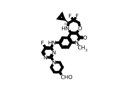 Cn1c(=O)c2c(c3cc(Nc4nc(N5CCC(C=O)CC5)ncc4F)ccc31)N[C@@H](C1CC1)C(F)(F)CO2